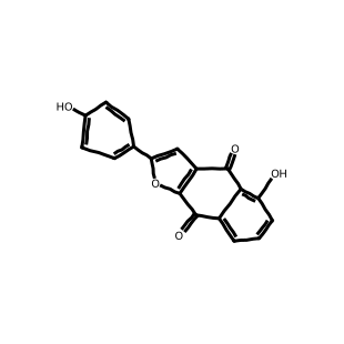 O=C1c2cccc(O)c2C(=O)c2cc(-c3ccc(O)cc3)oc21